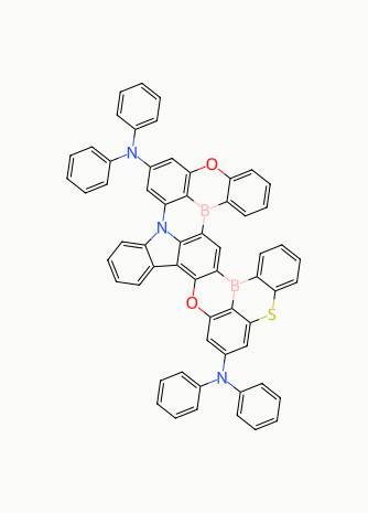 c1ccc(N(c2ccccc2)c2cc3c4c(c2)Sc2ccccc2B4c2cc4c5c(c2O3)c2ccccc2n5-c2cc(N(c3ccccc3)c3ccccc3)cc3c2B4c2ccccc2O3)cc1